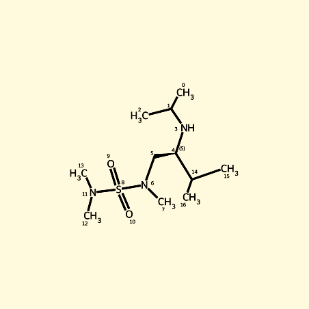 CC(C)N[C@H](CN(C)S(=O)(=O)N(C)C)C(C)C